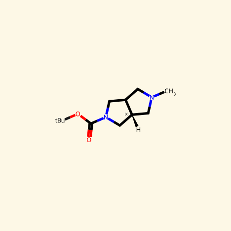 CN1CC2CN(C(=O)OC(C)(C)C)C[C@H]2C1